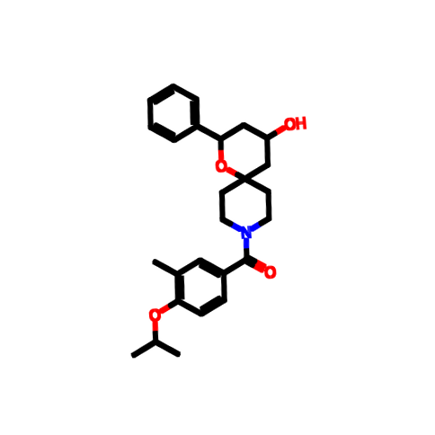 Cc1cc(C(=O)N2CCC3(CC2)CC(O)CC(c2ccccc2)O3)ccc1OC(C)C